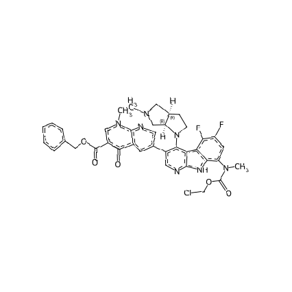 CN1C[C@H]2CCN(c3c(-c4cnc5c(c4)c(=O)c(C(=O)OCc4ccccc4)cn5C)cnc4[nH]c5c(N(C)C(=O)OCCl)cc(F)c(F)c5c34)[C@H]2C1